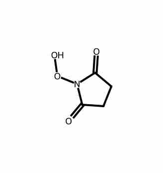 O=C1CCC(=O)N1OO